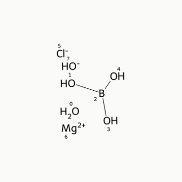 O.OB(O)O.[Cl-].[Mg+2].[OH-]